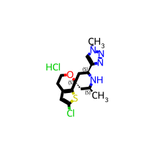 C[C@H]1C[C@@]2(C[C@@H](c3cn(C)nn3)N1)OCCc1cc(Cl)sc12.Cl